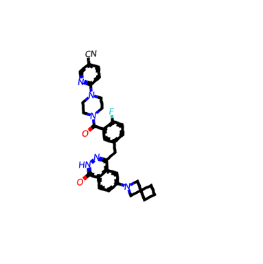 N#Cc1ccc(N2CCN(C(=O)c3cc(Cc4n[nH]c(=O)c5ccc(N6CC7(CCC7)C6)cc45)ccc3F)CC2)nc1